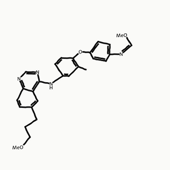 CO/C=N\c1ccc(Oc2ccc(Nc3ncnc4ccc(CCCOC)cc34)cc2C)cc1